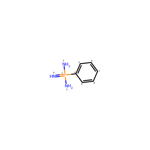 N=P(N)(N)c1ccccc1